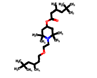 CC(CCOCCN1C(C)(C)CC(OC(=O)CC(C)CC(C)(C)C)CC1(C)C)CC(C)(C)C